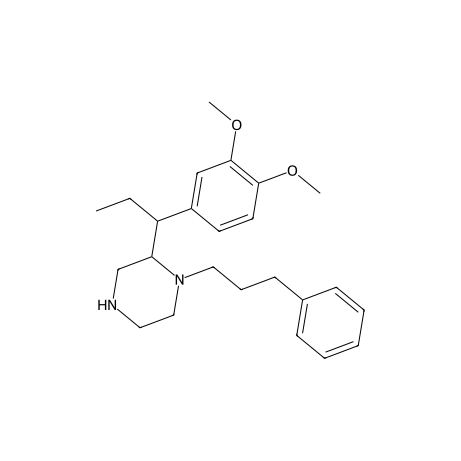 CCC(c1ccc(OC)c(OC)c1)C1CNCCN1CCCc1ccccc1